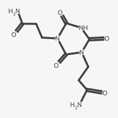 NC(=O)CCn1c(=O)[nH]c(=O)n(CCC(N)=O)c1=O